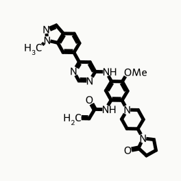 C=CC(=O)Nc1cc(Nc2cc(-c3ccc4cnn(C)c4c3)ncn2)c(OC)cc1N1CCC(N2CCCC2=O)CC1